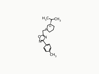 Cc1ccc(-c2noc(CN3CCC[C@H](C(C)C)C3)n2)cc1